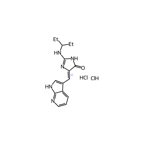 CCC(CC)NC1=N/C(=C\c2c[nH]c3ncccc23)C(=O)N1.Cl.Cl